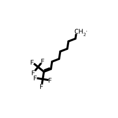 [CH2]CCCCCCC=C(C(F)(F)F)C(F)(F)F